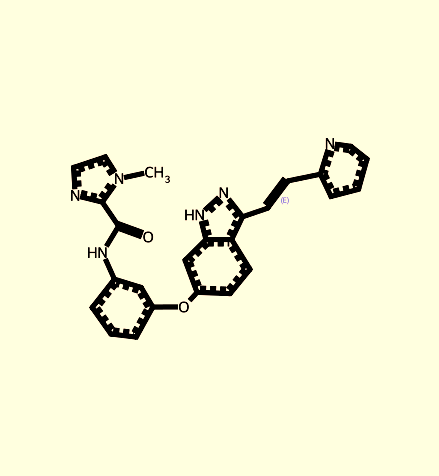 Cn1ccnc1C(=O)Nc1cccc(Oc2ccc3c(/C=C/c4ccccn4)n[nH]c3c2)c1